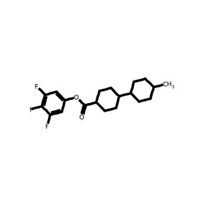 CC1CCC(C2CCC(C(=O)Oc3cc(F)c(I)c(F)c3)CC2)CC1